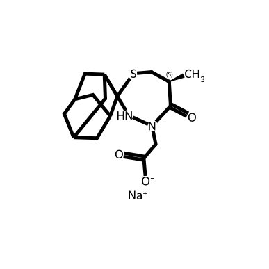 C[C@@H]1CSC2(NN(CC(=O)[O-])C1=O)C1CC3CC(C1)CC2C3.[Na+]